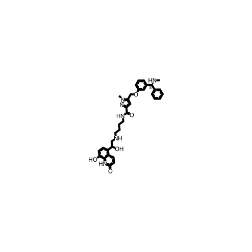 CN[C@@H](c1ccccc1)c1cccc(OCc2cc(C(=O)NCCCCNCC(O)c3ccc(O)c4[nH]c(=O)ccc34)nn2C)c1